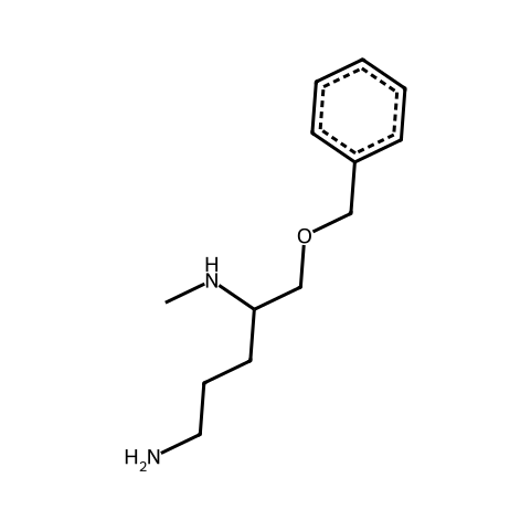 CNC(CCCN)COCc1ccccc1